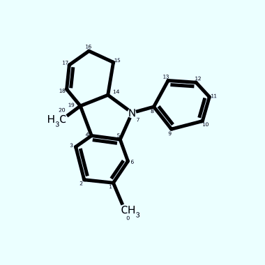 Cc1ccc2c(c1)N(c1ccccc1)C1CCC=CC21C